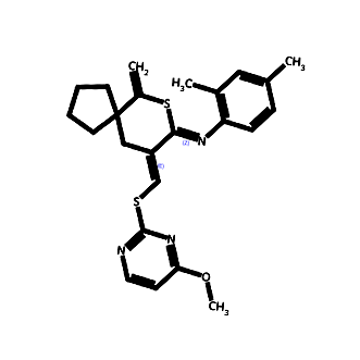 C=C1SC(=N\c2ccc(C)cc2C)/C(=C/Sc2nccc(OC)n2)CC12CCCC2